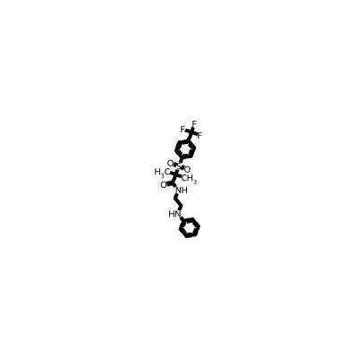 CC(C)(C(=O)NCCNc1ccccc1)S(=O)(=O)c1ccc(C(F)(F)F)cc1